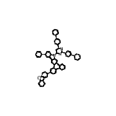 c1ccc(-c2ccc(-c3cc(-n4c5ccc(-c6ccccc6)cc5c5cc6c7cc(-c8ccc9oc%10ccccc%10c9c8)ccc7c7ccccc7c6cc54)nc(-c4ccc(-c5ccccc5)cc4)n3)cc2)cc1